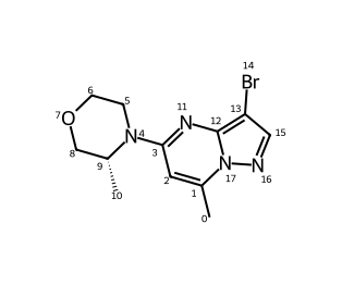 Cc1cc(N2CCOC[C@H]2C)nc2c(Br)cnn12